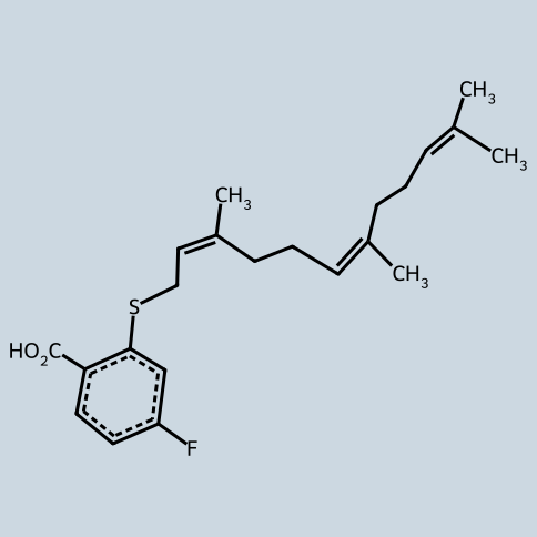 CC(C)=CCCC(C)=CCCC(C)=CCSc1cc(F)ccc1C(=O)O